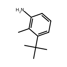 Cc1c(N)cccc1C(C)(C)C